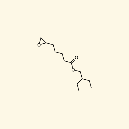 CCC(CC)COC(=O)CCCCC1CO1